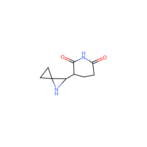 O=C1CCC(C2NC23CC3)C(=O)N1